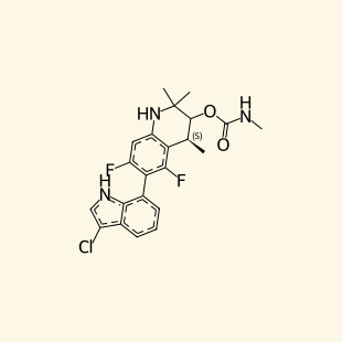 CNC(=O)OC1[C@@H](C)c2c(cc(F)c(-c3cccc4c(Cl)c[nH]c34)c2F)NC1(C)C